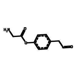 NCC(=O)Oc1ccc(C[C]=O)cc1